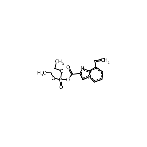 C=Cc1cccn2cc(C(=O)OP(=O)(OCC)OCC)nc12